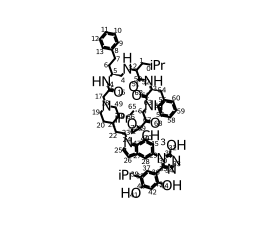 CC(C)CC(NC[C@H](CCc1ccccc1)NC(=O)CN1CCC(CCn2ccc3cc(-n4c(O)nnc4-c4cc(C(C)C)c(O)cc4O)ccc32)CC1)C(=O)N[C@@H](Cc1ccccc1)C(=O)N[C@@H](CC(C)C)C(=O)[C@@]1(C)CO1